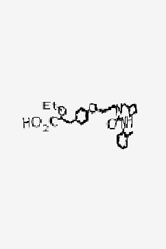 CCOC(Cc1ccc(OCCN(CC2CCC2)C(=O)Nc2ccccc2C)cc1)C(=O)O